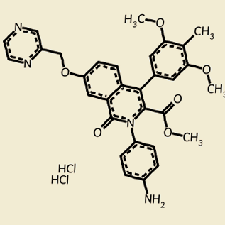 COC(=O)c1c(-c2cc(OC)c(C)c(OC)c2)c2ccc(OCc3cnccn3)cc2c(=O)n1-c1ccc(N)cc1.Cl.Cl